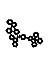 c1ccc(-c2c(-c3ccc(N(c4ccc(-c5ccc6c(c5)-c5ccccc5C65c6ccccc6-c6ccccc65)cc4)c4cc5ccccc5c5ccccc45)cc3)ccc3ccccc23)cc1